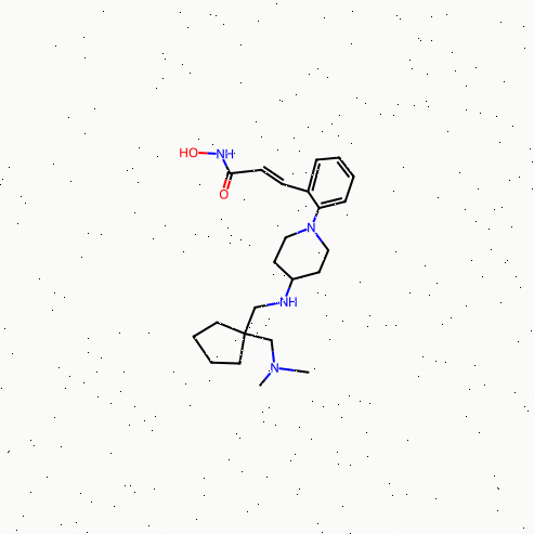 CN(C)CC1(CNC2CCN(c3ccccc3C=CC(=O)NO)CC2)CCCC1